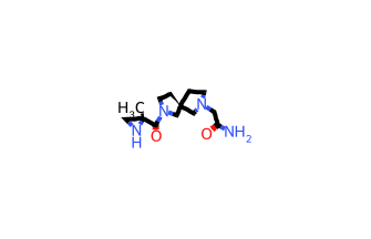 C[C@]1(C(=O)N2CC[C@]3(CCN(CC(N)=O)C3)C2)CN1